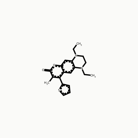 CCN1CCN(CC)c2cc3c(-c4cccs4)c(C)c(=O)oc3cc21